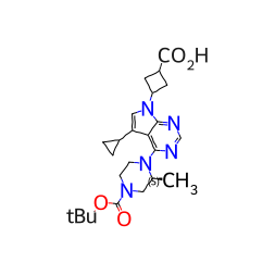 C[C@H]1CN(C(=O)OC(C)(C)C)CCN1c1ncnc2c1c(C1CC1)cn2C1CC(C(=O)O)C1